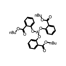 CCCCOC(=O)c1ccccc1[O][Al]([O]c1ccccc1C(=O)OCCCC)[O]c1ccccc1C(=O)OCCCC